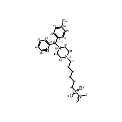 CN(C)S(=O)(=O)CCCCCCN1CCN(C(c2ccc(F)cc2)c2ccccn2)CC1